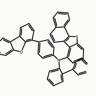 c1ccc(-c2ccccc2N(c2ccc(-c3cccc4c3oc3ccccc34)cc2)c2cccc3sc4c5ccccc5ccc4c23)cc1